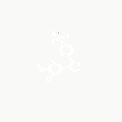 COc1ncc(C2=C(c3ccc(S(N)(=O)=O)cc3)CCC2)cc1Cl